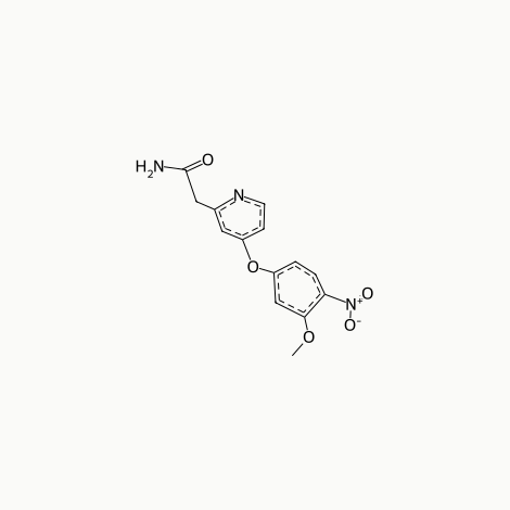 COc1cc(Oc2ccnc(CC(N)=O)c2)ccc1[N+](=O)[O-]